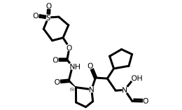 O=CN(O)CC(C(=O)N1CCC[C@H]1C(=O)NC(=O)OC1CCS(=O)(=O)CC1)C1CCCC1